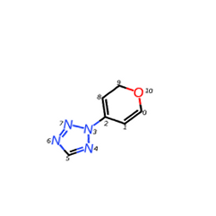 C1=CC(n2ncnn2)=CCO1